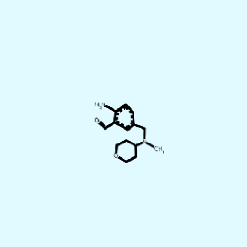 CN(Cc1ccc(N)c(C=O)c1)C1CCOCC1